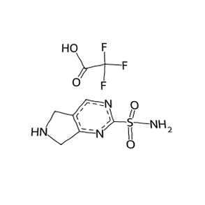 NS(=O)(=O)c1ncc2c(n1)CNC2.O=C(O)C(F)(F)F